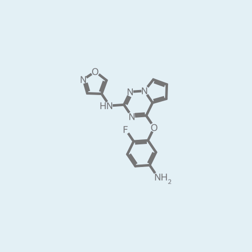 Nc1ccc(F)c(Oc2nc(Nc3cnoc3)nn3cccc23)c1